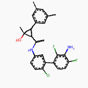 C=C(Nc1ccc(Cl)c(-c2ccc(F)c(N)c2F)c1)C1C(c2cc(C)cc(C)c2)C1(C)O